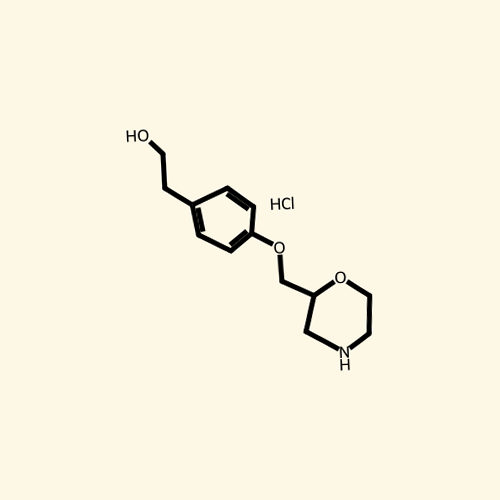 Cl.OCCc1ccc(OCC2CNCCO2)cc1